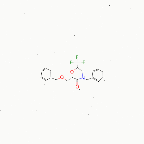 O=C1[C@H](COCc2ccccc2)O[C@H](C(F)(F)F)CN1Cc1ccccc1